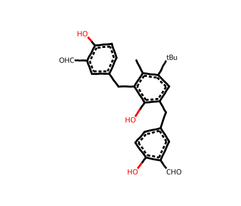 Cc1c(C(C)(C)C)cc(Cc2ccc(O)c(C=O)c2)c(O)c1Cc1ccc(O)c(C=O)c1